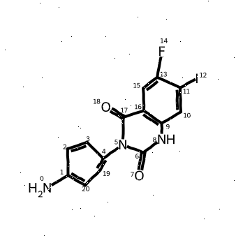 Nc1ccc(-n2c(=O)[nH]c3cc(I)c(F)cc3c2=O)cc1